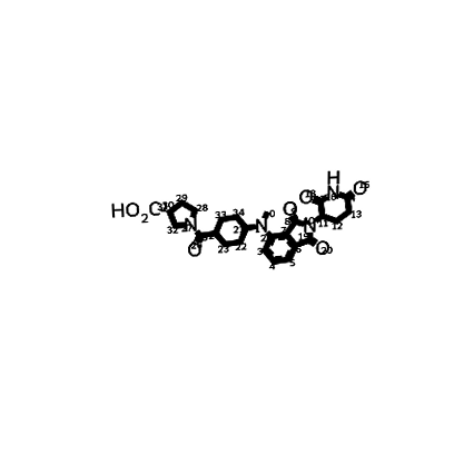 CN(c1cccc2c1C(=O)N(C1CCC(=O)NC1=O)C2=O)C1CCC(C(=O)N2CC[C@@H](C(=O)O)C2)CC1